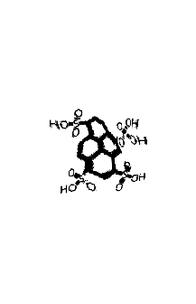 O=P(O)(O)O.O=S(=O)(O)c1ccc2ccc3c(S(=O)(=O)O)cc(S(=O)(=O)O)c4ccc1c2c34